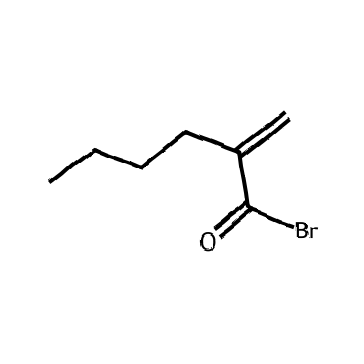 C=C(CCCC)C(=O)Br